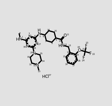 CNc1nc(NC2CCC(C(=O)NCc3ccccc3OC(F)(F)F)CC2)nc(N2CCN(C)CC2)n1.Cl